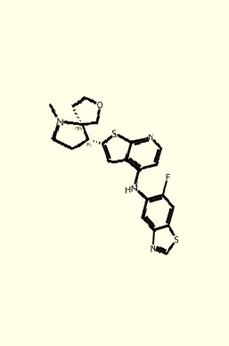 CN1CC[C@@H](c2cc3c(Nc4cc5ncsc5cc4F)ccnc3s2)[C@@]12CCOC2